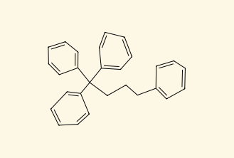 c1ccc(CCCC(c2ccccc2)(c2ccccc2)c2ccccc2)cc1